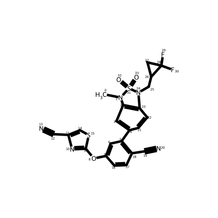 CN1c2cc(-c3cc(Oc4nc(C#N)cs4)ccc3C#N)ccc2N(CC2CC2(F)F)S1(=O)=O